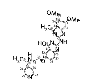 COc1cc2nc(Nc3nc(O)c4cc(OCCNC(C)c5ccncc5)ccc4n3)nc(C)c2cc1OC